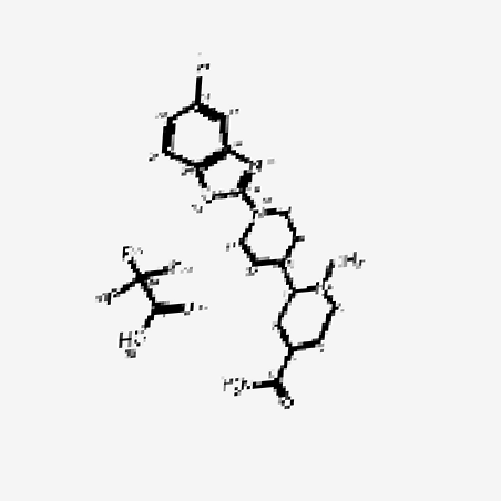 CN1CCC(C(N)=O)CC1C1CCN(c2nc3cc(Cl)ccc3o2)CC1.O=C(O)C(F)(F)F